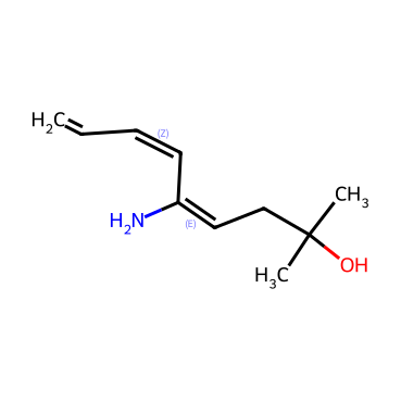 C=C/C=C\C(N)=C/CC(C)(C)O